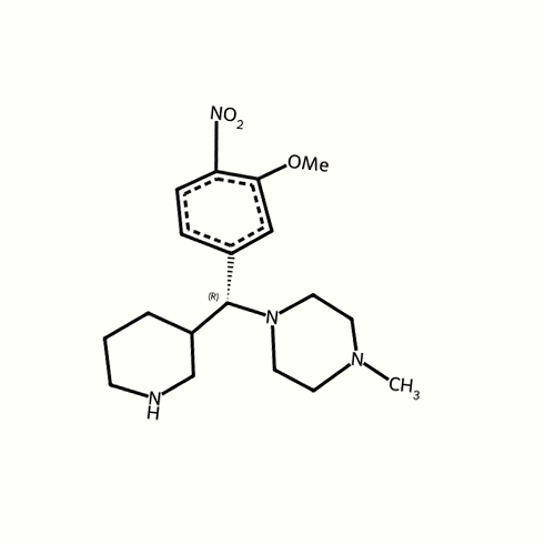 COc1cc([C@@H](C2CCCNC2)N2CCN(C)CC2)ccc1[N+](=O)[O-]